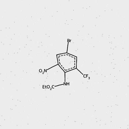 CCOC(=O)Nc1c([N+](=O)[O-])cc(Br)cc1C(F)(F)F